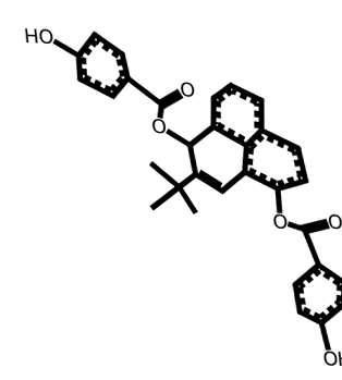 CC(C)(C)C1=Cc2c(OC(=O)c3ccc(O)cc3)ccc3cccc(c23)C1OC(=O)c1ccc(O)cc1